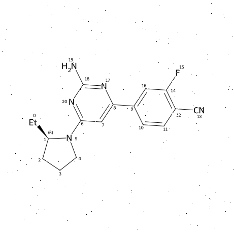 CC[C@@H]1CCCN1c1cc(-c2ccc(C#N)c(F)c2)nc(N)n1